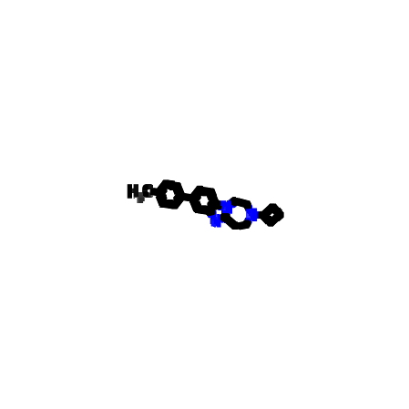 Cc1ccc(-c2ccc3c(c2)nc2n3CCN(C3CCC3)CC2)cc1